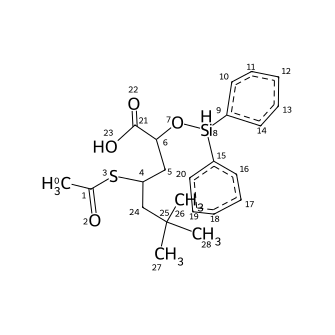 CC(=O)SC(CC(O[SiH](c1ccccc1)c1ccccc1)C(=O)O)CC(C)(C)C